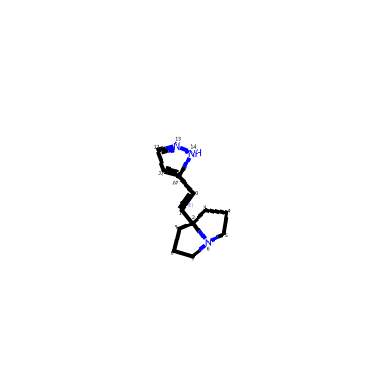 C(=C\C12CCCN1CCC2)/c1ccn[nH]1